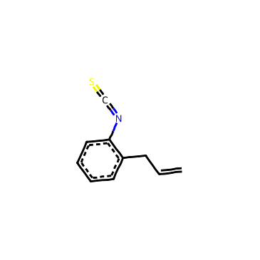 C=CCc1ccccc1N=C=S